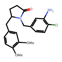 COc1ccc(CC2CCC(=O)N2Cc2ccc(Cl)c(N)c2)cc1OC